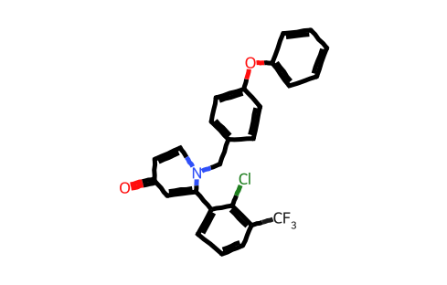 O=c1ccn(Cc2ccc(Oc3ccccc3)cc2)c(-c2cccc(C(F)(F)F)c2Cl)c1